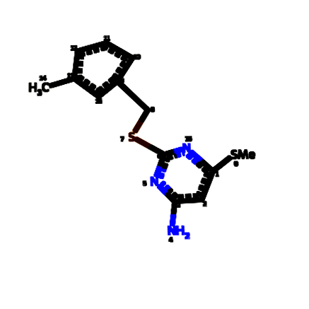 CSc1cc(N)nc(SCc2cccc(C)c2)n1